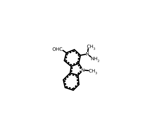 CN(N)c1cc(C=O)cc2c3ccccc3n(C)c12